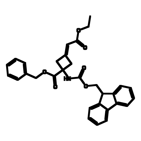 CCOC(=O)C=C1CC(NC(=O)OCC2c3ccccc3-c3ccccc32)(C(=O)OCc2ccccc2)C1